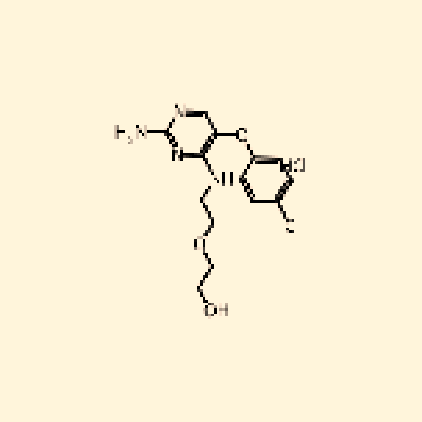 Cl.Nc1ncc(Oc2ccc(Cl)cc2)c(NCCOCCO)n1